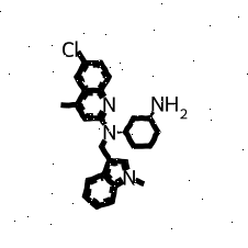 Cc1cc(N(Cc2cn(C)c3ccccc23)[C@H]2CCC[C@H](N)C2)nc2ccc(Cl)cc12